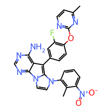 Cc1ccnc(Oc2ccc(-c3c4c(N)ncnc4n4ccn(-c5cccc([N+](=O)[O-])c5C)c34)cc2F)n1